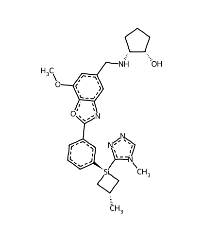 COc1cc(CN[C@@H]2CCC[C@@H]2O)cc2nc(-c3cccc([Si@]4(c5nncn5C)C[C@@H](C)C4)c3)oc12